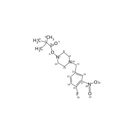 CC(C)(C)C(=O)ON1CCN(Cc2ccc(F)c([N+](=O)[O-])c2)CC1